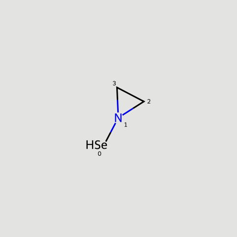 [SeH]N1CC1